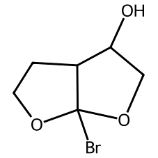 OC1COC2(Br)OCCC12